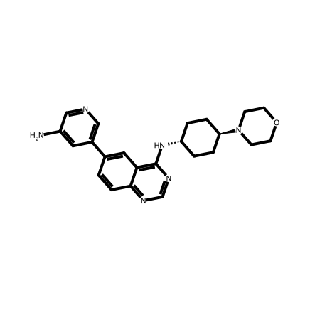 Nc1cncc(-c2ccc3ncnc(N[C@H]4CC[C@H](N5CCOCC5)CC4)c3c2)c1